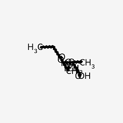 CCCCCCCC/C=C\CCCCCCCC(=O)OCCN(CCCN(CC)CC)CCOC(=O)OC(CCCCCC)CCCCCCCCC(=O)O